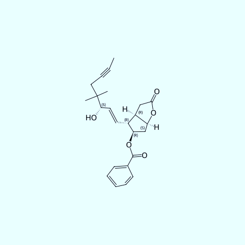 CC#CCC(C)(C)[C@@H](O)C=C[C@@H]1[C@H]2CC(=O)O[C@H]2C[C@H]1OC(=O)c1ccccc1